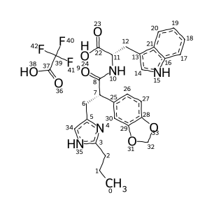 CCCc1nc(C[C@H](C(=O)N[C@@H](Cc2c[nH]c3ccccc23)C(=O)O)c2ccc3c(c2)OCO3)c[nH]1.O=C(O)C(F)(F)F